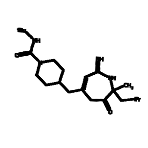 CC(C)CC1(C)NC(=N)C=C(CC2CCN(C(=O)NC(C)(C)C)CC2)CC1=O